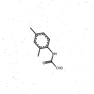 Cc1ccc(NC(=O)C=O)c(C)c1